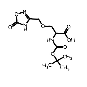 CC(C)(C)OC(=O)NC(COCc1noc(=O)[nH]1)C(=O)O